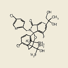 BC(B)(O)C1(C(B)(B)O[C@]2(c3ccc(Cl)cc3)c3c(F)cc(C(C)(O)CO)cc3C(=O)N2Cc2ccc(Cl)cn2)CC1